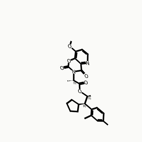 COc1ccnc2c(=O)n([C@@H](C)C(=O)O[C@@H](C)[C@@H](c3ccc(C)cc3C)C3CCCC3)c(=O)oc12